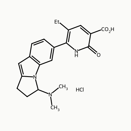 CCc1cc(C(=O)O)c(=O)[nH]c1-c1ccc2cc3n(c2c1)C(N(C)C)CC3.Cl